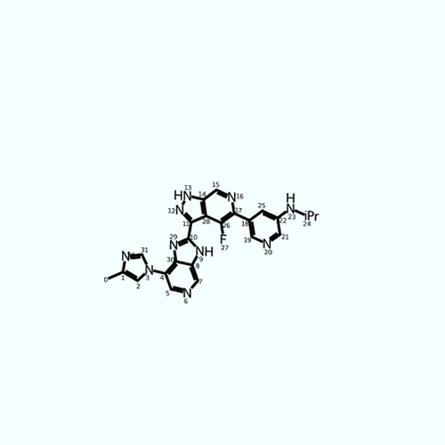 Cc1cn(-c2cncc3[nH]c(-c4n[nH]c5cnc(-c6cncc(NC(C)C)c6)c(F)c45)nc23)cn1